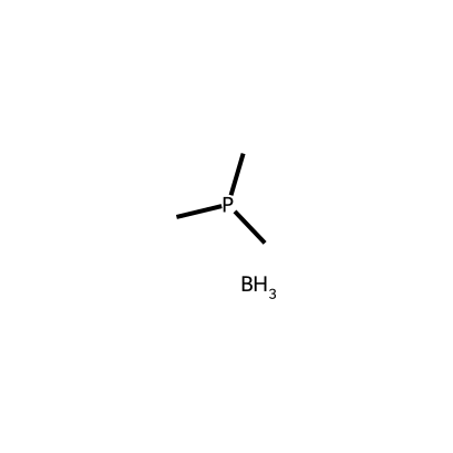 B.CP(C)C